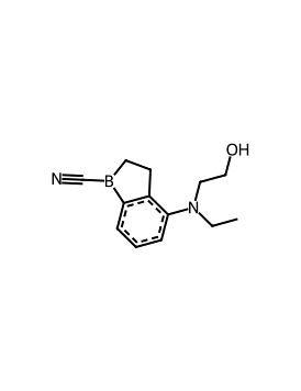 CCN(CCO)c1cccc2c1CCB2C#N